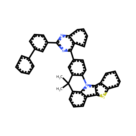 CC1(C)c2cc(-c3nc(-c4cccc(-c5ccccc5)c4)nc4ccccc34)ccc2-n2c3c1cccc3c1sc3ccccc3c12